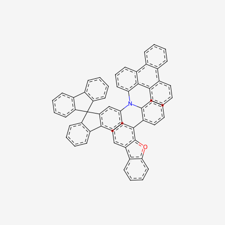 c1ccc(N(c2ccc3c(c2)C2(c4ccccc4-c4ccccc42)c2ccccc2-3)c2cccc3c4ccccc4c4ccccc4c23)c(-c2cccc3c2oc2ccccc23)c1